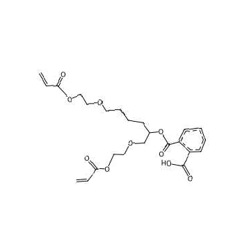 C=CC(=O)OCCOCCCCC(COCCOC(=O)C=C)OC(=O)c1ccccc1C(=O)O